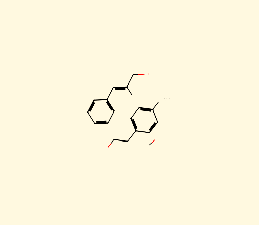 C/C(=C\c1ccccc1)CO.CCO.COc1ccc(CCO)cc1